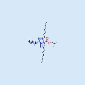 CCCCCCCCC(CCCCCCCC)(NC(=N)N)C(=O)OCC(C)C.[SnH2]